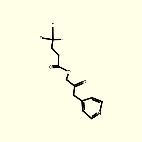 O=C(COC(=O)CCC(F)(F)F)Cc1ccncc1